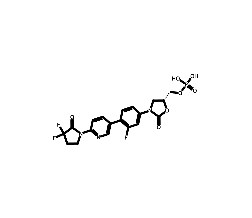 O=C1O[C@@H](COP(=O)(O)O)CN1c1ccc(-c2ccc(N3CCC(F)(F)C3=O)nc2)c(F)c1